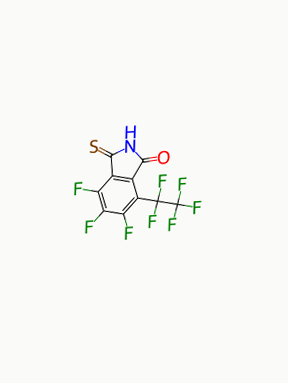 O=C1NC(=S)c2c(F)c(F)c(F)c(C(F)(F)C(F)(F)F)c21